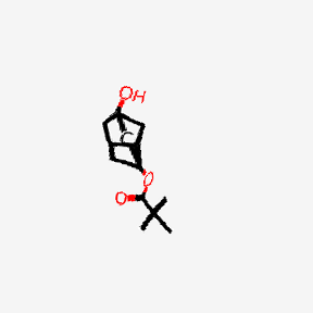 CC(C)(C)C(=O)OC12CC3CC(O)(CC31)C2